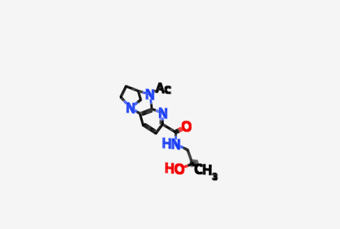 CC(=O)N1c2nc(C(=O)NC[C@@H](C)O)ccc2N2CCC1C2